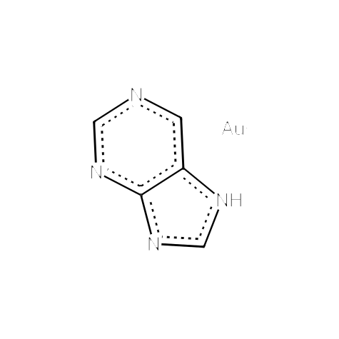 [Au].c1ncc2[nH]cnc2n1